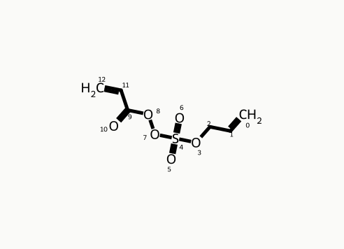 C=CCOS(=O)(=O)OOC(=O)C=C